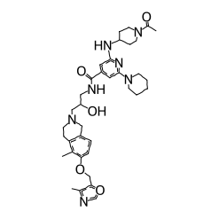 CC(=O)N1CCC(Nc2cc(C(=O)NCC(O)CN3CCc4c(ccc(OCc5ocnc5C)c4C)C3)cc(N3CCCCC3)n2)CC1